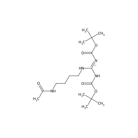 CC(=O)NCCCCN/C(=N\C(=O)OC(C)(C)C)NC(=O)OC(C)(C)C